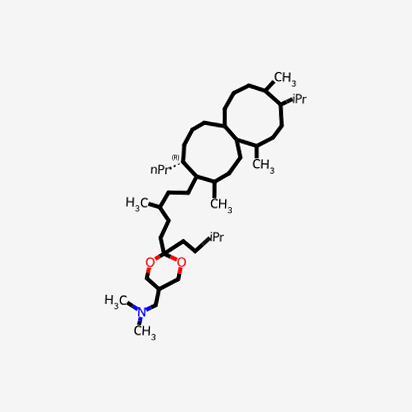 CCC[C@@H]1CCCC2CCCC(C)C(C(C)C)CCC(C)C2CCC(C)C1CCC(C)CCC1(CCC(C)C)OCC(CN(C)C)CO1